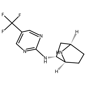 FC(F)(F)c1cnc(N[C@@H]2C[C@H]3CC[C@@H]2N3)nc1